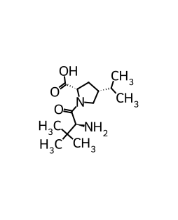 CC(C)[C@H]1C[C@@H](C(=O)O)N(C(=O)[C@@H](N)C(C)(C)C)C1